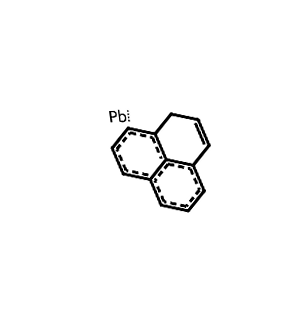 C1=Cc2cccc3cccc(c23)C1.[Pb]